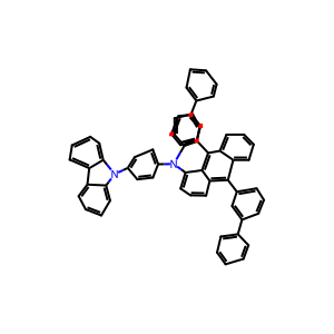 c1ccc(-c2cccc(-c3c4ccccc4c(-c4cccc(-c5ccccc5)c4)c4c(N(c5ccccc5)c5ccc(-n6c7ccccc7c7ccccc76)cc5)cccc34)c2)cc1